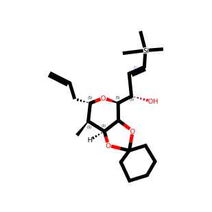 C=CC[C@@H]1O[C@@H]([C@@H](O)/C=C/[Si](C)(C)C)C2OC3(CCCCC3)O[C@H]2[C@H]1C